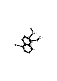 COc1ccc2c(F)cccc2c1C=O